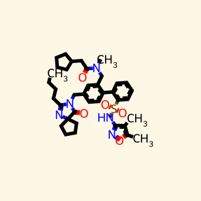 CCCCC1=NC2(CCCC2)C(=O)N1Cc1ccc(-c2ccccc2S(=O)(=O)Nc2noc(C)c2C)c(CN(C)C(=O)CC2CCCC2)c1